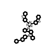 c1ccc(-c2ccc3cc(-n4c5ccccc5c5ccc6c(c7ccccc7n6-c6nc(-c7ccc8sc9ccccc9c8c7)nc(-c7ccc8sc9ccccc9c8c7)n6)c54)ccc3c2)cc1